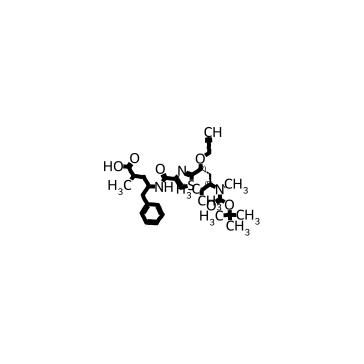 C#CCO[C@H](C[C@H](C(C)C)N(C)C(=O)OC(C)(C)C)c1nc(C(=O)NC(Cc2ccccc2)CC(C)C(=O)O)cs1